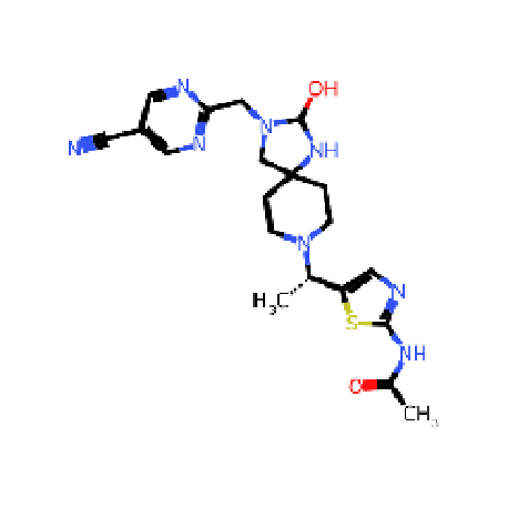 CC(=O)Nc1ncc([C@H](C)N2CCC3(CC2)CN(Cc2ncc(C#N)cn2)C(O)N3)s1